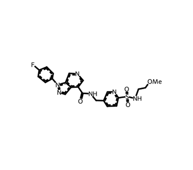 COCCNS(=O)(=O)c1ccc(CNC(=O)c2cncc3c2cnn3-c2ccc(F)cc2)cn1